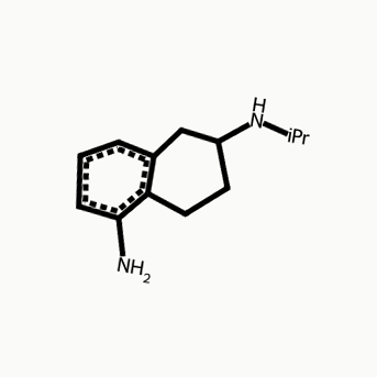 CC(C)NC1CCc2c(N)cccc2C1